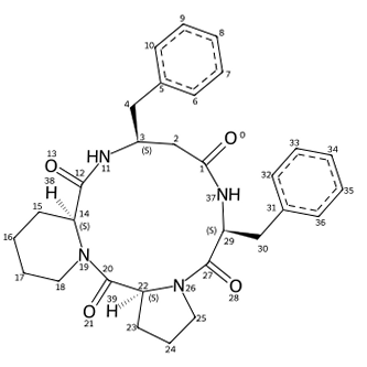 O=C1C[C@H](Cc2ccccc2)NC(=O)[C@@H]2CCCCN2C(=O)[C@@H]2CCCN2C(=O)[C@H](Cc2ccccc2)N1